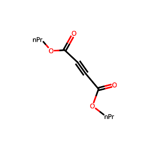 CCCOC(=O)C#CC(=O)OCCC